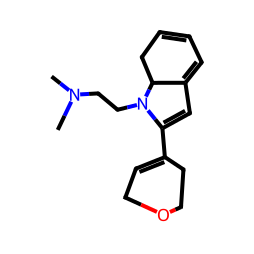 CN(C)CCN1C(C2=CCOCC2)=CC2=CC=CCC21